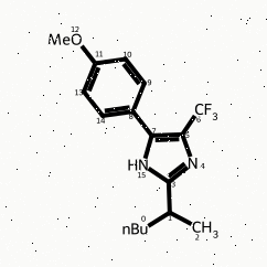 CCCCC(C)c1nc(C(F)(F)F)c(-c2ccc(OC)cc2)[nH]1